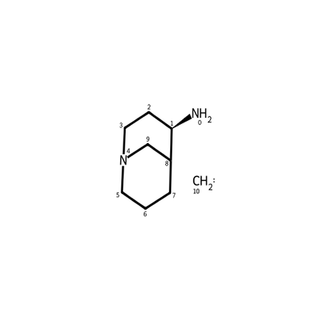 N[C@@H]1CCN2CCCC1C2.[CH2]